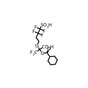 O=C(OC(OCCC(F)(F)C(F)(F)S(=O)(=O)O)(C(=O)O)C(F)(F)F)C1CCCCC1